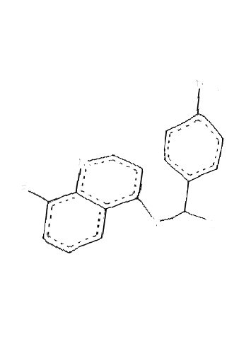 CC(Nc1ccnc2c(F)cccc12)c1ccc(N)cc1